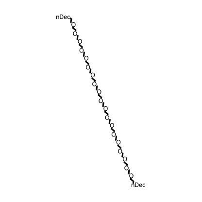 CCCCCCCCCCCCOCCOCCOCCOCCOCCOCCOCCOCCOCCOCCOCCOCCOCCOCCOCCOCCOCCOCCOCCCCCCCCCCCC